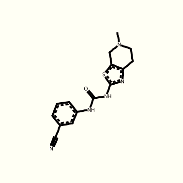 CN1CCc2nc(NC(=O)Nc3cccc(C#N)c3)sc2C1